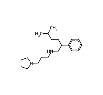 CC(C)CCC(CNCCCN1CCCC1)c1ccccc1